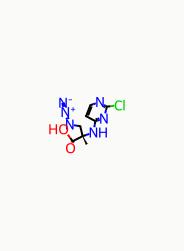 C[C@@](CN=[N+]=[N-])(Nc1ccnc(Cl)n1)C(=O)O